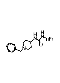 CCCNC(=O)NC1CCN(Cc2ccccc2)CC1